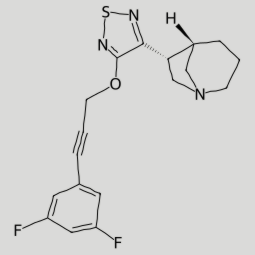 Fc1cc(F)cc(C#CCOc2nsnc2[C@H]2CN3CCC[C@@H]2C3)c1